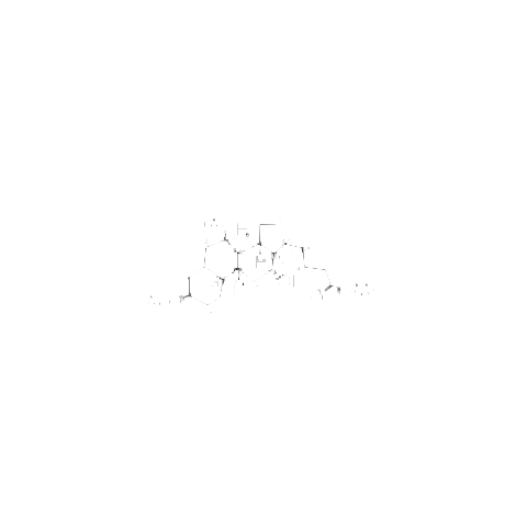 COC(=O)CC[C@@H](C)[C@H]1CC[C@H]2[C@@H]3[C@H](OC(C)=O)CC4C[C@H](OC(C)=O)CC[C@]4(C)[C@H]3C[C@H](O)[C@]12C